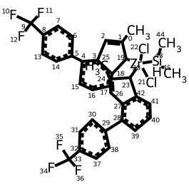 CC1=Cc2c(-c3ccc(C(F)(F)F)cc3)cccc2[CH]1[Zr]([Cl])([Cl])([CH]1C(C)=Cc2c(-c3ccc(C(F)(F)F)cc3)cccc21)[SiH](C)C